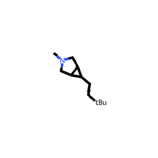 CN1CC2C(CCC(C)(C)C)C2C1